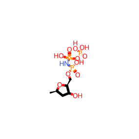 C[C@@H]1CC(O)[C@H](COP(=O)(O)NP(=O)(O)OP(=O)(O)O)O1